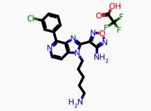 NCCCCCn1c(-c2nonc2N)nc2c(-c3cccc(Cl)c3)nccc21.O=C(O)C(F)(F)F